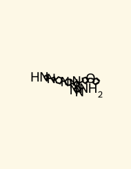 Nc1ncnc2c1c(-c1ccc(Oc3ccccc3)cc1)nn2C1CCN(C2CCC3(CC2)CN(C2CNC2)C3)CC1